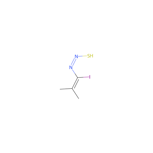 CC(C)=C(I)/N=N\S